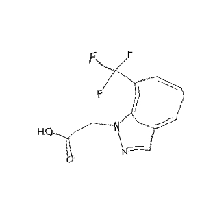 O=C(O)Cn1ncc2cccc(C(F)(F)F)c21